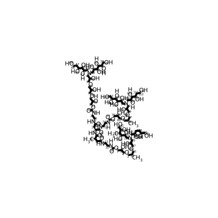 CC(COCC(O)COC(=O)NCCNC(=O)C[C@@H](C)C(=O)N[C@@H](CC(=O)NCCNC(=O)OCC(O)COCC(O)COCC(O)CN(C[C@H](O)[C@@H](O)[C@H](O)[C@H](O)CO)C[C@H](O)[C@@H](O)[C@H](O)CCO)C(=O)NCCNC(=O)OCC(C)COCC(C)COCC(O)CN(C[C@H](O)[C@@H](O)[C@H](O)[C@H](O)CO)C[C@H](O)[C@@H](O)[C@H](O)CCO)COCC(O)CN(CC(O)CC[C@H](O)CO)C[C@H](O)[C@@H](O)[C@H](C)[C@H](O)CO